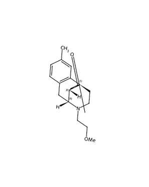 COCCN1CC[C@]23CC(=O)CC[C@H]2[C@H]1Cc1ccc(C)cc13